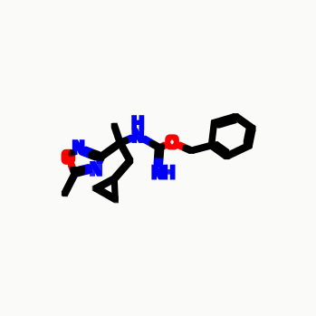 Cc1nc(C(C)(CC2CC2)NC(=N)OCc2ccccc2)no1